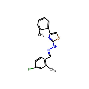 Cc1cc(F)ccc1/C=N/Nc1nc(-c2ccccc2C)cs1